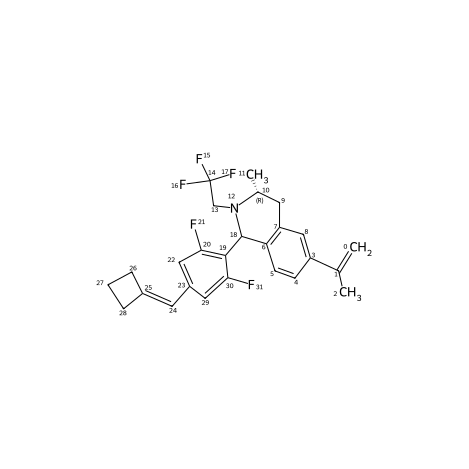 C=C(C)c1ccc2c(c1)C[C@@H](C)N(CC(F)(F)F)C2c1c(F)cc(C=C2CCC2)cc1F